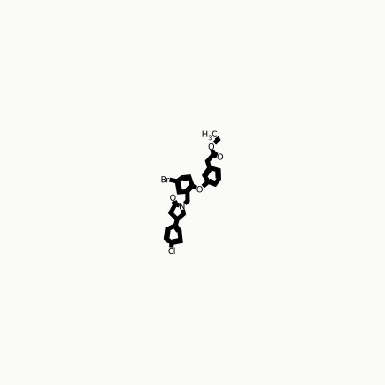 CCOC(=O)Cc1cccc(Oc2ccc(Br)cc2CN2CC(c3ccc(Cl)cc3)CC2=O)c1